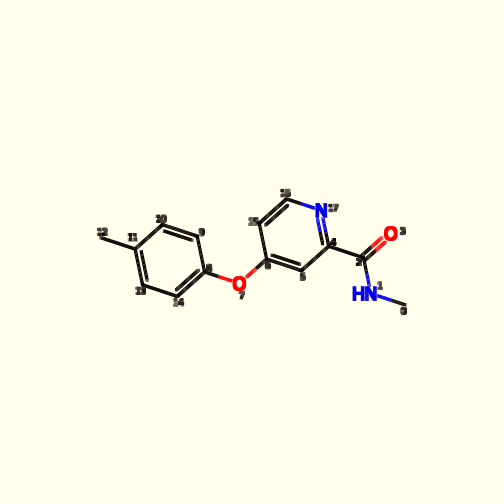 CNC(=O)c1cc(Oc2ccc(C)cc2)ccn1